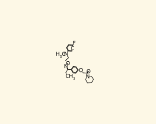 CC/C(=N/OCCN(C)c1ccc(F)cc1)c1ccc(OCC(=O)N2CCCCC2)cc1